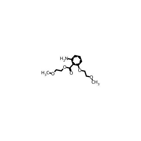 COCCOC(=O)c1c(N)cccc1OCCOC